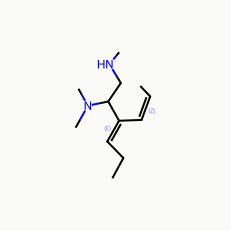 C/C=C\C(=C/CC)C(CNC)N(C)C